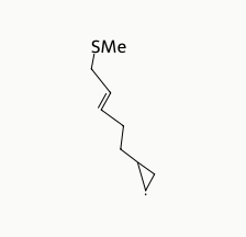 CSCC=CCCC1[CH]C1